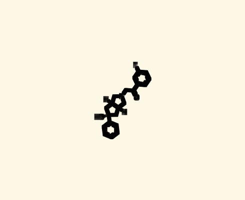 O=C(CN1C[C@@H]2C[C@@](O)(c3ccccc3)C[C@@H]2C1)c1cccc(F)c1